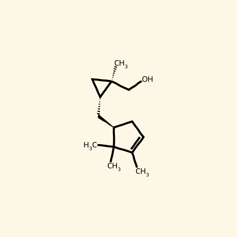 CC1=CC[C@H](C[C@@H]2C[C@@]2(C)CO)C1(C)C